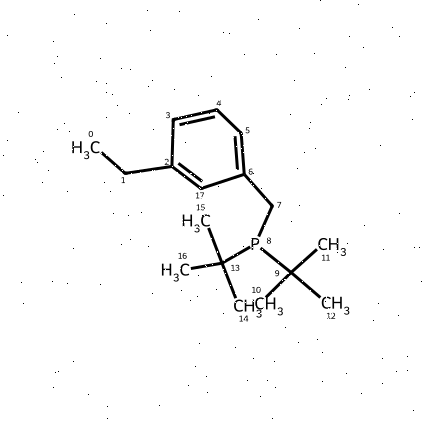 CCc1cccc(CP(C(C)(C)C)C(C)(C)C)c1